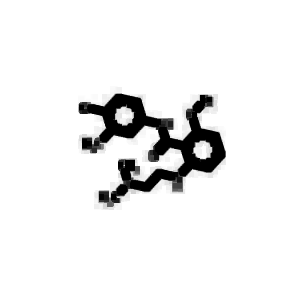 CCOc1cccc(NCCN(C)C)c1C(=O)Nc1ccc(Cl)c(C)c1